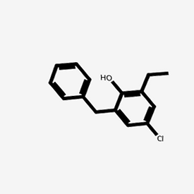 CCc1cc(Cl)cc(Cc2ccccc2)c1O